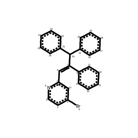 Brc1ccnc(C=C(c2ccccc2)C(c2ccccc2)c2ccccc2)c1